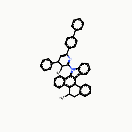 CC1Cc2ccccc2-c2c1c1ccccc1c1c2c2ccccc2n1C1=NC(c2ccc(-c3ccccc3)cc2)=CC(c2ccccc2)C1C